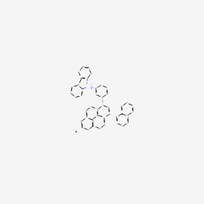 CC(C)(C)c1cc2ccc3c(-c4cccc(-n5c6ccccc6c6ccccc65)c4)cc(-c4cccc5ccccc45)c4ccc(c1)c2c34